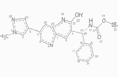 Cn1cc(-c2cnc3cc([C@H](NC(=O)OC(C)(C)C)c4ccccc4)c(O)nc3c2)cn1